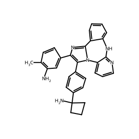 Cc1ccc(-c2nc3n(c2-c2ccc(C4(N)CCC4)cc2)-c2cccnc2Nc2ccccc2-3)cc1N